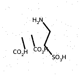 CC(=O)O.CC(=O)O.NCCS(=O)(=O)O